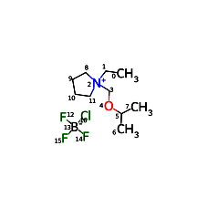 CC[N+]1(COC(C)C)CCCC1.F[B-](F)(F)Cl